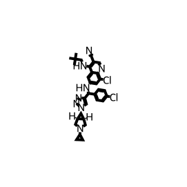 CC(C)(C)CNc1c(C#N)cnc2c(Cl)cc(NC(c3ccc(Cl)cc3)c3cn([C@H]4[C@@H]5CN(C6CC6)C[C@@H]54)nn3)cc12